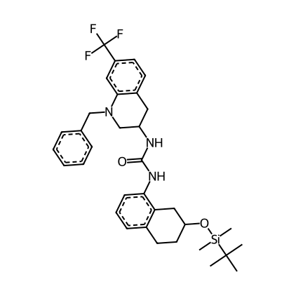 CC(C)(C)[Si](C)(C)OC1CCc2cccc(NC(=O)NC3Cc4ccc(C(F)(F)F)cc4N(Cc4ccccc4)C3)c2C1